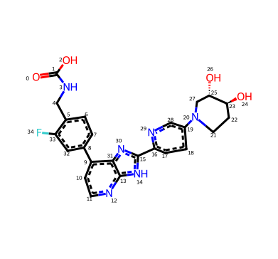 O=C(O)NCc1ccc(-c2ccnc3[nH]c(-c4ccc(N5CC[C@H](O)[C@@H](O)C5)cn4)nc23)cc1F